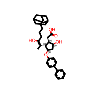 CC(=C(O)CCCC12CC3CC(CC(C3)C1)C2)[C@@H]1[C@@H](CC(=O)O)[C@@H](O)C[C@H]1Oc1ccc(-c2ccccc2)cc1